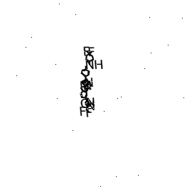 Fc1cc(-c2nnc(C(F)F)o2)ccc1Cn1cc(-c2ccc(CNC3CCC(F)(F)CC3)cc2)nn1